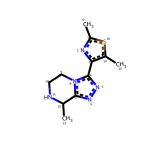 Cc1nc(-c2nnc3n2CCNC3C)c(C)s1